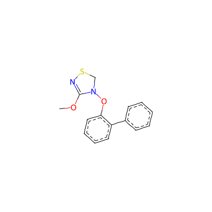 COC1=NSCN1Oc1ccccc1-c1ccccc1